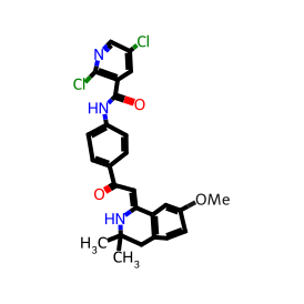 COc1ccc2c(c1)/C(=C/C(=O)c1ccc(NC(=O)c3cc(Cl)cnc3Cl)cc1)NC(C)(C)C2